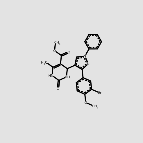 COC(=O)C1=C(C)NC(=O)NC1c1cn(-c2ccccc2)nc1-c1ccc(OC)c(Br)c1